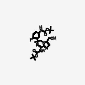 CC(C)(C)OC(=O)NC1=NC(C)(c2cc(NC(=O)OC(C)(C)C)ccc2F)Cn2c(CO)cnc21